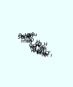 CCCCNC(=O)[C@H](CCC(=O)NCCCOc1ccc(C[C@H]2NC(=O)[C@H](CC(=O)O)NC(=O)CNC(=O)[C@H](CCCNC(=N)NC(=O)C(F)(F)F)NC(=O)[C@H](C(C)C)NC2=O)cc1)NC(=O)c1ccc(N/N=C/c2ccccc2S(=O)(=O)O)cc1